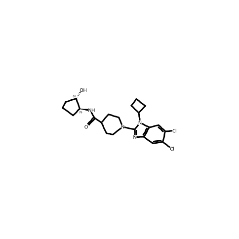 O=C(N[C@H]1CCC[C@@H]1O)C1CCN(c2nc3cc(Cl)c(Cl)cc3n2C2CCC2)CC1